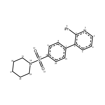 CC(C)c1ncccc1-c1ccc(S(=O)(=O)N2CCCCC2)cc1